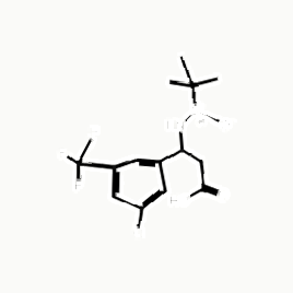 CC(C)(C)[S@@+]([O-])NC(CC(=O)O)c1cc(Cl)cc(C(F)(F)F)c1